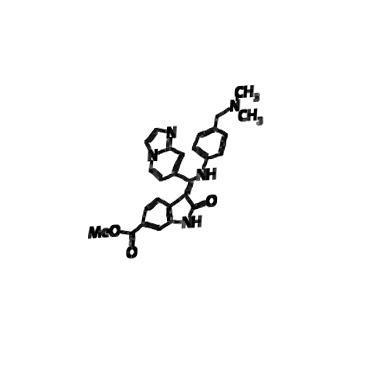 COC(=O)c1ccc2c(c1)NC(=O)/C2=C(\Nc1ccc(CN(C)C)cc1)c1ccn2ccnc2c1